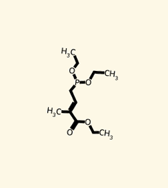 CCOC(=O)C(C)=CCP(OCC)OCC